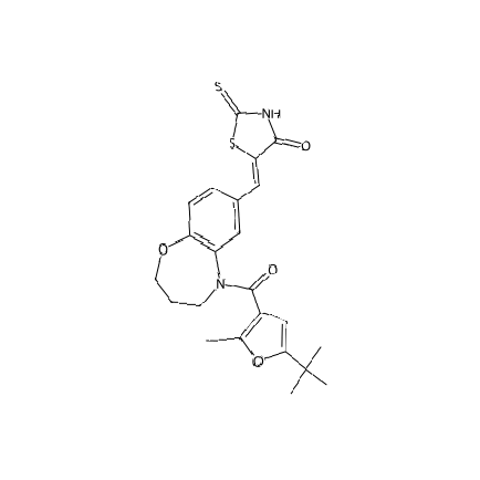 Cc1oc(C(C)(C)C)cc1C(=O)N1CCCOc2ccc(/C=C3\SC(=S)NC3=O)cc21